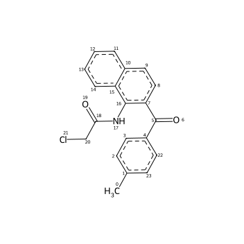 Cc1ccc(C(=O)c2ccc3ccccc3c2NC(=O)CCl)cc1